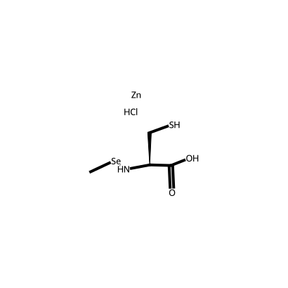 C[Se]N[C@@H](CS)C(=O)O.Cl.[Zn]